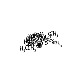 COc1ccc(C(OCc2nc3c(=O)[nH]cnc3n2CCOP(=S)(OCCC#N)OC[C@H]2O[C@@H](n3cnc4c(=O)[nH]c(NC(=O)C(C)C)nc43)[C@H](O[PH](=O)O)[C@@H]2F)(c2ccccc2)c2ccc(OC)cc2)cc1